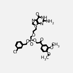 COc1ccc(C(=O)COP(=O)(COCCn2cnc3c(=O)[nH]c(N)nc32)OCc2cccc(Cl)c2)cc1OC